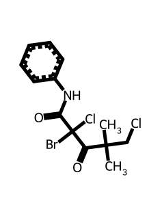 CC(C)(CCl)C(=O)C(Cl)(Br)C(=O)Nc1ccccc1